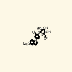 COc1ccc2c(ccn2-c2ccc(O[C@H]3O[C@H](CO)[C@@H](O)[C@H](O)[C@@H]3O)c(Cl)c2)c1